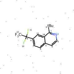 CC(C)(C)c1nccc2ccc(C(F)(F)C(F)(F)F)cc12